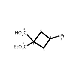 CCOC(=O)C1(C(=O)O)CC(C(C)C)C1